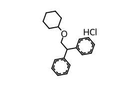 Cl.c1ccc(C(COC2CCCCC2)c2ccccc2)cc1